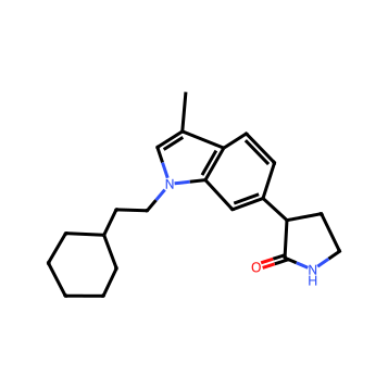 Cc1cn(CCC2CCCCC2)c2cc(C3CCNC3=O)ccc12